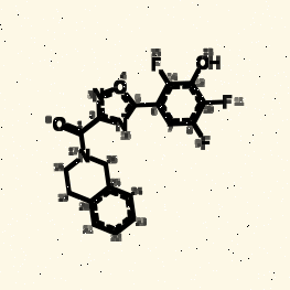 O=C(c1noc(-c2cc(F)c(F)c(O)c2F)n1)N1CCc2ccccc2C1